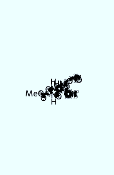 COC(=O)CC[C@H]1NC(=O)c2cc(Oc3cccc(N(C)C)c3)c(NC(=O)COCc3ccoc3)cc2NC1=O